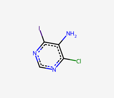 Nc1c(Cl)ncnc1I